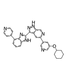 c1cc(-c2ccncc2)c2nc(-c3n[nH]c4cnc(-c5cncc(OC6CCCCC6)c5)cc34)[nH]c2c1